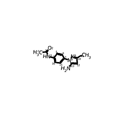 CC(=O)Nc1ccc(-n2nc(C)cc2N)cc1